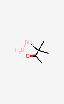 BB.CC(=O)C(C)(C)C